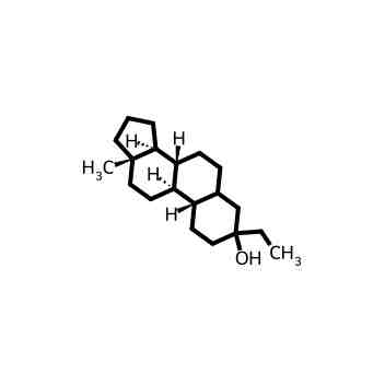 CCC1(O)CC[C@H]2C(CC[C@@H]3[C@@H]2CC[C@]2(C)CCC[C@@H]32)C1